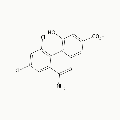 NC(=O)c1cc(Cl)cc(Cl)c1-c1ccc(C(=O)O)cc1O